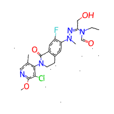 CCN(C=O)/C(CO)=N\N(C)c1cc2c(cc1F)C(=O)N(c1c(C)cnc(OC)c1Cl)CC2